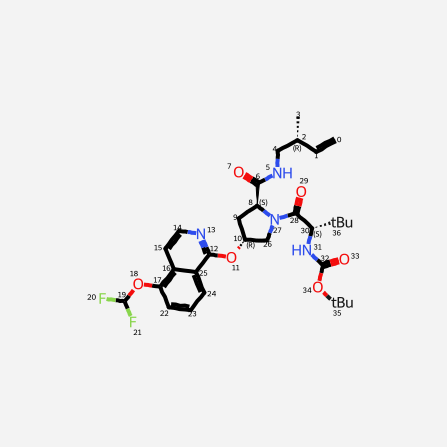 C=C[C@@H](C)CNC(=O)[C@@H]1C[C@@H](Oc2nccc3c(OC(F)F)cccc23)CN1C(=O)[C@@H](NC(=O)OC(C)(C)C)C(C)(C)C